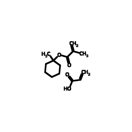 C=C(C)C(=O)OC1(C)CCCCC1.C=CC(=O)O